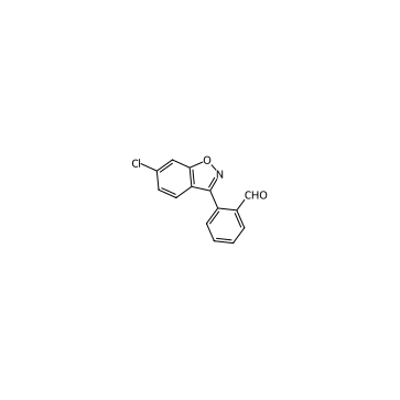 O=Cc1ccccc1-c1noc2cc(Cl)ccc12